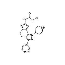 CCSC(=O)Nc1nc2c(s1)-c1c(c(-c3cccnc3)nn1C1CCNCC1)CC2